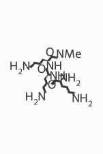 CNCC(=O)[C@H](CCCCN)NC(=O)[C@H](CCCCN)NC(=O)[C@@H](N)CCCCN